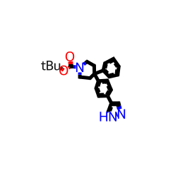 CC(C)(C)OC(=O)N1CCC(c2ccccc2)(c2ccc(-c3cn[nH]c3)cc2)CC1